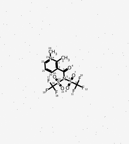 Cc1c(C(=O)N(S(=O)(=O)C(F)(F)F)S(=O)(=O)C(F)(F)F)ccc[n+]1C